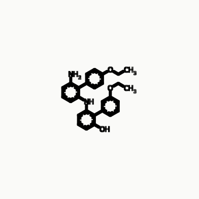 CCOc1ccc(-c2c(N)cccc2Nc2cccc(O)c2-c2cccc(OCC)c2)cc1